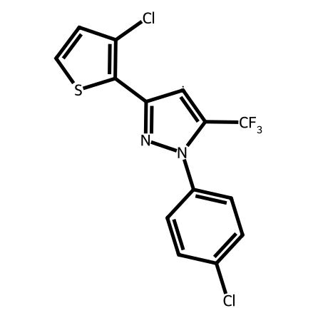 FC(F)(F)c1[c]c(-c2sccc2Cl)nn1-c1ccc(Cl)cc1